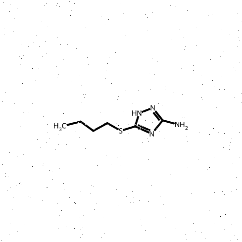 CCCCSc1nc(N)n[nH]1